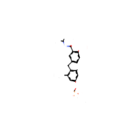 Cc1cc(OCP(C)(=O)O)cc(C)c1Cc1ccc(O)c(C(=O)NC(C)C)c1